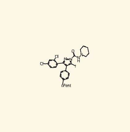 CCCCCc1ccc(-c2c(-c3ccc(Cl)cc3Cl)nn(C(=O)NN3CCCCC3)c2I)cc1